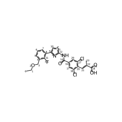 CCOCc1cccc(-c2csc(NC(=O)c3cc(Cl)c(/C=C(\C)C(=O)O)c(Cl)c3)n2)c1F